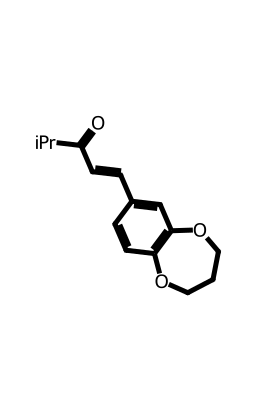 CC(C)C(=O)/C=C/c1ccc2c(c1)OCCCO2